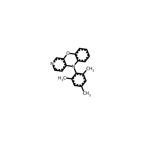 Cc1cc(C)c(N2c3ccccc3Oc3cnccc32)c(C)c1